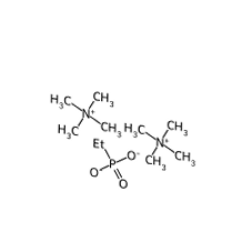 CCP(=O)([O-])[O-].C[N+](C)(C)C.C[N+](C)(C)C